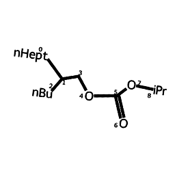 CCCCCCCC(CCCC)COC(=O)OC(C)C